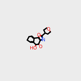 O=C1c2nc(C3CCOCC3)oc2C2=CCCC=C2C1O